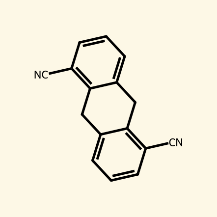 N#Cc1cccc2c1Cc1cccc(C#N)c1C2